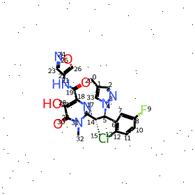 Cc1cnn([C@@H](c2cc(F)ccc2Cl)[C@H](C)c2nc(C(=O)Nc3cnoc3)c(O)c(=O)n2C)c1